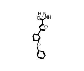 NNC(=O)c1cc(-c2cccc(OCc3ccccc3)c2)co1